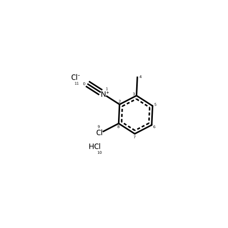 C#[N+]c1c(C)cccc1Cl.Cl.[Cl-]